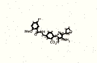 COc1ccc(F)cc1C(=O)NCc1ccc(-n2nc(C3CCOC3)c(N)c2C(=O)O)cc1